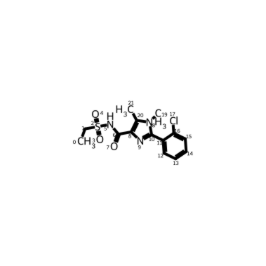 CCS(=O)(=O)NC(=O)c1nc(-c2ccccc2Cl)n(C)c1C